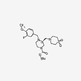 CC(C)(C)OC(=O)N1CCN(Cc2ccc(OC(F)(F)F)c(F)c2)[C@@H](CN2CCS(=O)(=O)CC2)C1